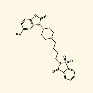 CC(C)(C)c1ccc2oc(=O)n(C3CCN(CCCCN4C(=O)c5ccccc5S4(=O)=O)CC3)c2c1